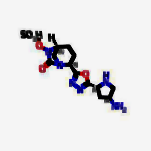 N[C@@H]1CN[C@@H](c2nnc([C@@H]3CC[C@H]4CN3C(=O)N4OS(=O)(=O)O)o2)C1